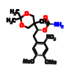 COc1cc(CC(OC(N)=O)C2(C)COC(C)(C)OC2)c([N+](=O)[O-])cc1OC